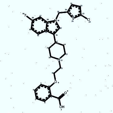 O=C(O)c1ccccc1OCCN1CCC(c2cn(Cc3ccc(Cl)s3)c3cc(F)ccc23)CC1